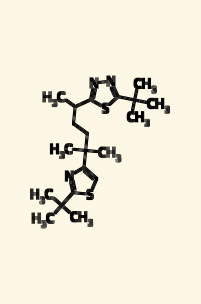 CC(CCC(C)(C)c1csc(C(C)(C)C)n1)c1nnc(C(C)(C)C)s1